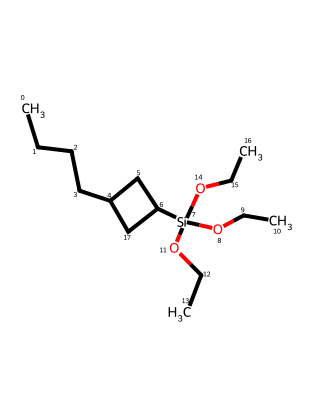 CCCCC1CC([Si](OCC)(OCC)OCC)C1